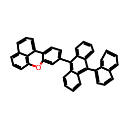 c1ccc2c(-c3c4ccccc4c(-c4ccc5c(c4)Oc4cccc6cccc-5c46)c4ccccc34)cccc2c1